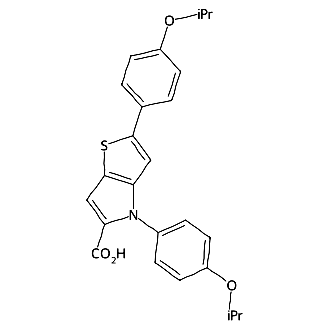 CC(C)Oc1ccc(-c2cc3c(cc(C(=O)O)n3-c3ccc(OC(C)C)cc3)s2)cc1